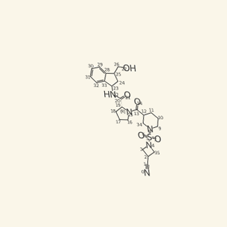 N#CC1CN(S(=O)(=O)N2CCCC(C(=O)N3CCC[C@@H]3C(=O)NC3CC(CO)c4ccccc43)C2)C1